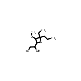 CCCC1(CC)OC(C(O)CO)C1OC